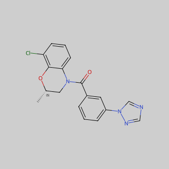 C[C@H]1CN(C(=O)c2cccc(-n3cncn3)c2)c2cccc(Cl)c2O1